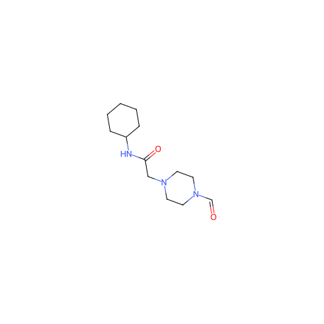 O=CN1CCN(CC(=O)NC2CCCCC2)CC1